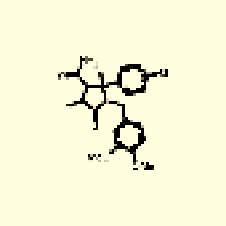 COc1ccc(CN2C(=O)C(C)C(C(N)=O)C2(C)c2ccc(Cl)cc2)cc1OC